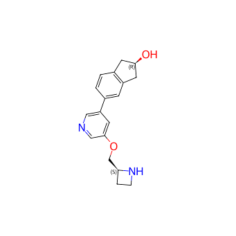 O[C@@H]1Cc2ccc(-c3cncc(OC[C@@H]4CCN4)c3)cc2C1